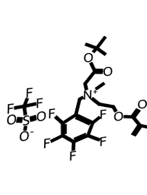 C=C(C)C(=O)OCC[N+](C)(CC(=O)OC(C)(C)C)Cc1c(F)c(F)c(F)c(F)c1F.O=S(=O)([O-])C(F)(F)F